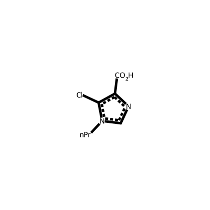 CCCn1cnc(C(=O)O)c1Cl